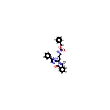 O=C(NCCCC(c1ncc(-c2ccccc2)[nH]1)N1C(=O)c2ccccc2C1=O)OCc1ccccc1